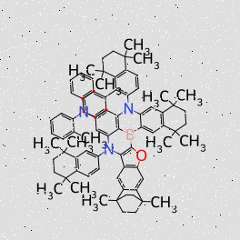 Cc1ccccc1N(c1ccccc1)c1cc2c3c(c1)N(c1ccc4c(c1)C(C)(C)CCC4(C)C)c1c(oc4cc5c(cc14)C1(C)CCC5(C)CC1)B3c1cc3c(cc1N2c1ccc2c(c1-c1ccccc1)C(C)(C)CCC2(C)C)C(C)(C)CCC3(C)C